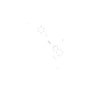 C=CCn1c(C#CCNc2ccc(S(=O)(=O)CC3O[C@H]3COC)cc2OC)cc2c(N[C@H]3CCNC[C@H]3F)cccc21